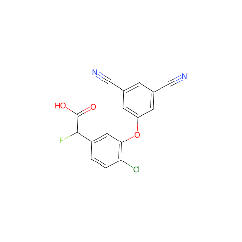 N#Cc1cc(C#N)cc(Oc2cc(C(F)C(=O)O)ccc2Cl)c1